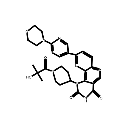 CC(C)(O)C(=O)N1CCC(n2c(=O)[nH]c(=O)c3cnc4ccc(-c5cnc(N6CCOCC6)nc5)nc4c32)CC1